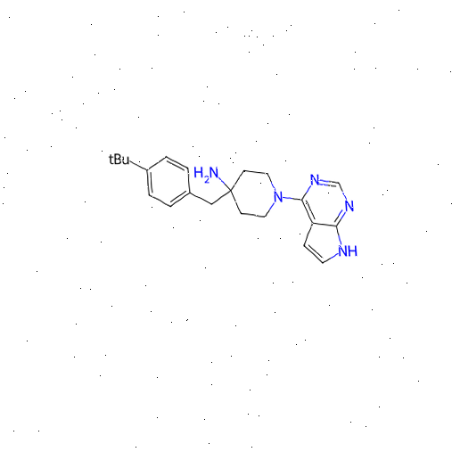 CC(C)(C)c1ccc(CC2(N)CCN(c3ncnc4[nH]ccc34)CC2)cc1